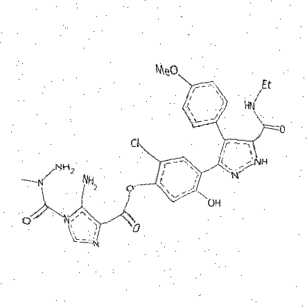 CCNC(=O)c1[nH]nc(-c2cc(Cl)c(OC(=O)c3ncn(C(=O)N(C)N)c3N)cc2O)c1-c1ccc(OC)cc1